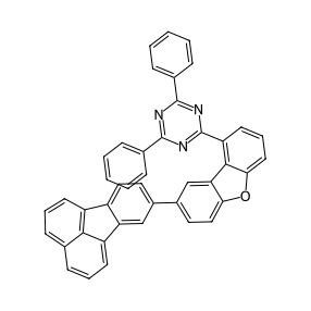 c1ccc(-c2nc(-c3ccccc3)nc(-c3cccc4oc5ccc(-c6ccc7c(c6)-c6cccc8cccc-7c68)cc5c34)n2)cc1